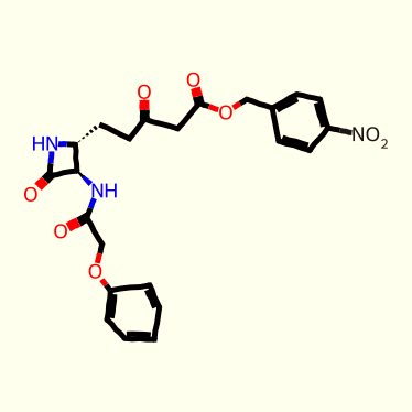 O=C(CC[C@H]1NC(=O)[C@@H]1NC(=O)COc1ccccc1)CC(=O)OCc1ccc([N+](=O)[O-])cc1